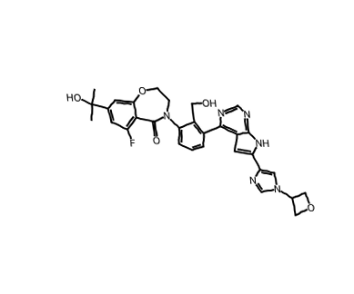 CC(C)(O)c1cc(F)c2c(c1)OCCN(c1cccc(-c3ncnc4[nH]c(-c5cn(C6COC6)cn5)cc34)c1CO)C2=O